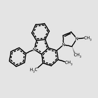 Cc1cc(C)c2c(c1N1C=CN(C)[C@@H]1C)c1ccccc1n2-c1ccccc1